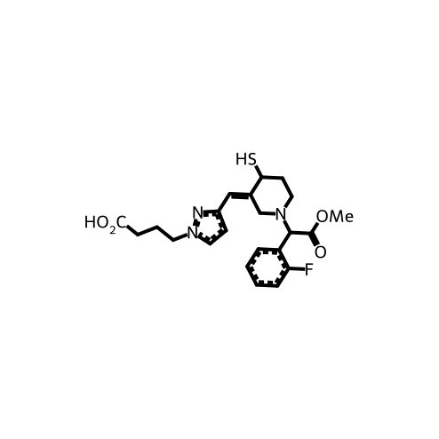 COC(=O)C(c1ccccc1F)N1CCC(S)C(=Cc2ccn(CCCC(=O)O)n2)C1